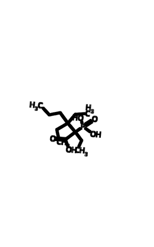 CCCC(CC)(CC)C(CC)(C(=O)O)P(=O)(O)O